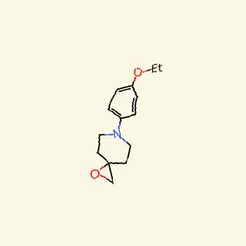 CCOc1ccc(N2CCC3(CC2)CO3)cc1